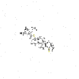 CC[Si](CC)(CC)c1cc2ccc3c4ccc5c(ccc6ccsc65)c4ccc3c2s1